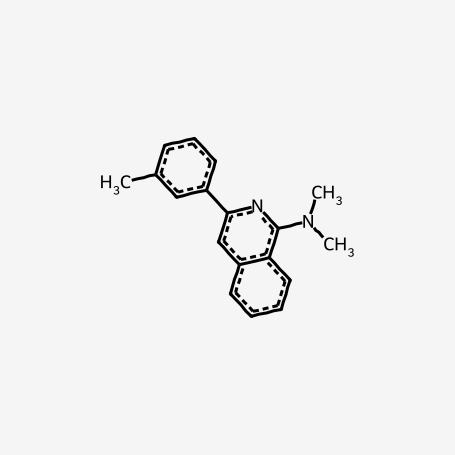 Cc1cccc(-c2cc3ccccc3c(N(C)C)n2)c1